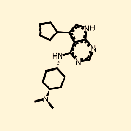 CN(C)[C@H]1CC[C@H](Nc2ncnc3[nH]cc(C4CCCC4)c23)CC1